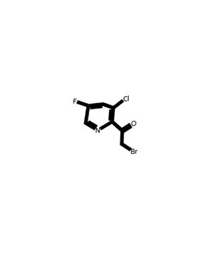 O=C(CBr)c1ncc(F)cc1Cl